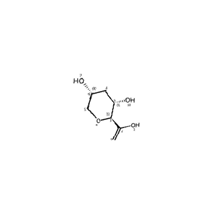 C=C(O)[C@H]1OC[C@H](O)C[C@@H]1O